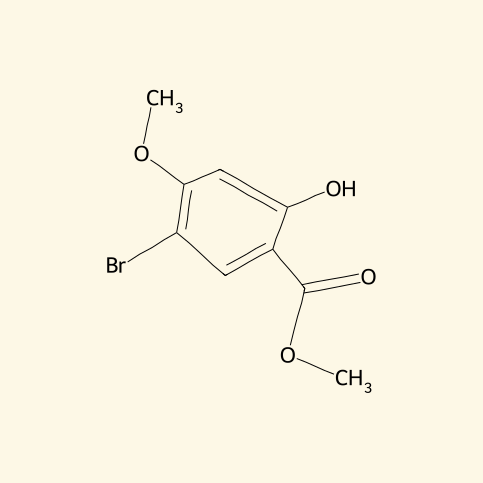 COC(=O)c1cc(Br)c(OC)cc1O